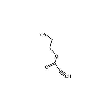 C#CC(=O)OCCCCC